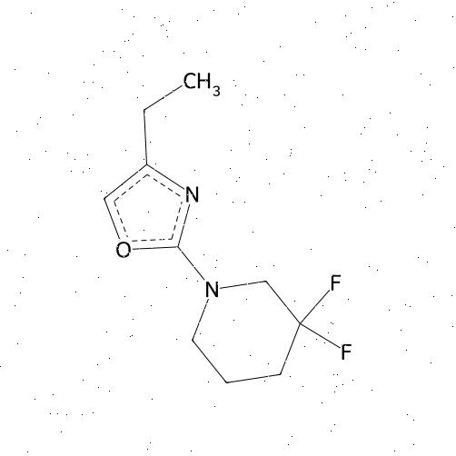 CCc1coc(N2CCCC(F)(F)C2)n1